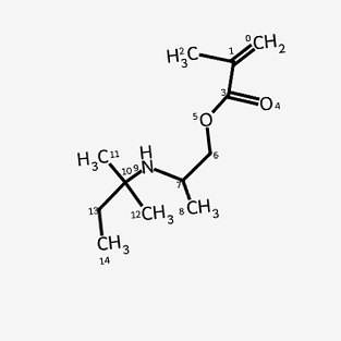 C=C(C)C(=O)OCC(C)NC(C)(C)CC